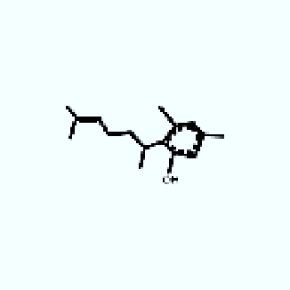 CC(C)=CCCC(C)c1c(C)cc(C)cc1O